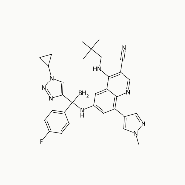 BC(Nc1cc(-c2cnn(C)c2)c2ncc(C#N)c(NCC(C)(C)C)c2c1)(c1ccc(F)cc1)c1cn(C2CC2)nn1